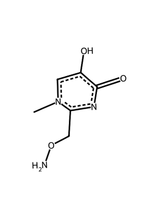 Cn1cc(O)c(=O)nc1CON